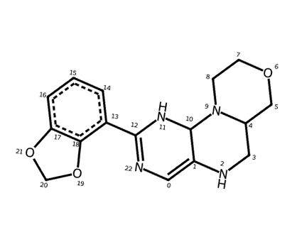 C1=C2NCC3COCCN3C2NC(c2cccc3c2OCO3)=N1